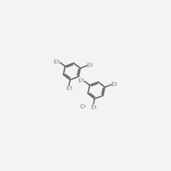 CCc1cc(CC)cc(CC)c1.CCc1cc(CC)cc(CC)c1.[Cr]